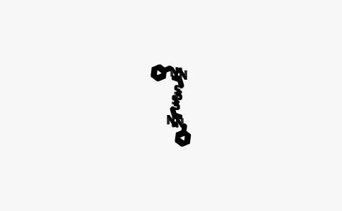 c1ccc(Cn2cnc(CSSSSCc3cn(Cc4ccccc4)cn3)c2)cc1